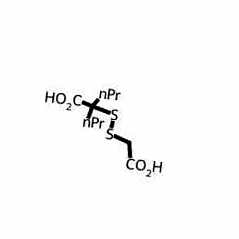 CCCC(CCC)(SSCC(=O)O)C(=O)O